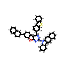 c1ccc2cc(-c3ccc4c(c3)oc3nc(-n5c6ccccc6c6cc7ccccc7cc65)nc(-c5ccc6c(c5)sc5ccccc56)c34)ccc2c1